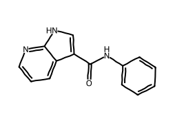 O=C(Nc1ccccc1)c1c[nH]c2ncccc12